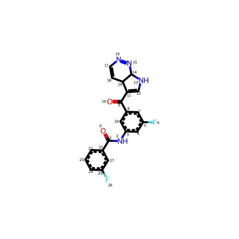 O=C(Nc1cc(F)cc(C(=O)C2=CNC3N=NC=CC23)c1)c1cccc(F)c1